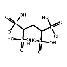 O=P(O)(O)C(CC(P(=O)(O)O)P(=O)(O)O)P(=O)(O)O